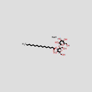 CCCCCCCCCCCCCCCC(=O)O[C@H]1[C@H](O)[C@@H](CO)O[C@@]1(CO)O[C@H]1O[C@H](CO)[C@@H](O)[C@H](O)[C@H]1O.[NaH]